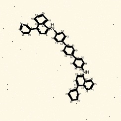 c1ccc(-c2ccc(Nc3ccc(-c4ccc(-c5ccc(Nc6ccc(-c7ccccc7)c7ccccc67)cc5)cc4)cc3)c3ccccc23)cc1